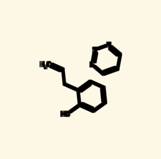 C=CCc1ccccc1O.c1cnnnc1